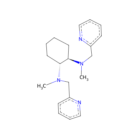 CN(Cc1ccccn1)[C@@H]1CCCC[C@H]1N(C)Cc1ccccn1